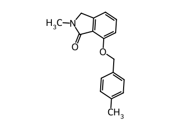 Cc1ccc(COc2cccc3c2C(=O)N(C)C3)cc1